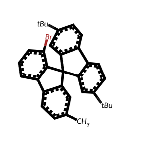 Cc1ccc2c(c1)C1(c3cc(C(C)(C)C)ccc3-c3ccc(C(C)(C)C)cc31)c1c(Br)cccc1-2